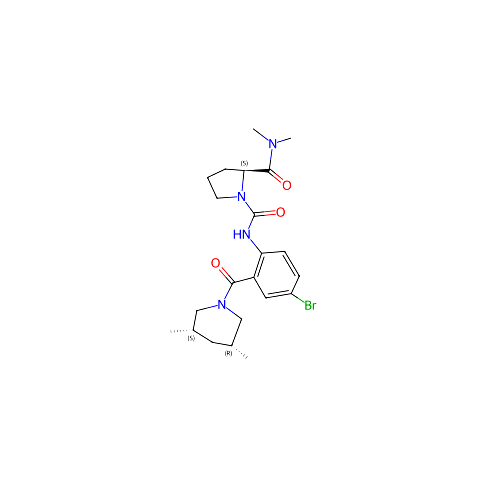 C[C@@H]1C[C@H](C)CN(C(=O)c2cc(Br)ccc2NC(=O)N2CCC[C@H]2C(=O)N(C)C)C1